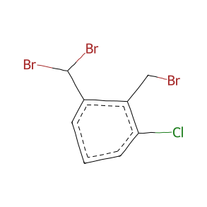 Clc1cccc(C(Br)Br)c1CBr